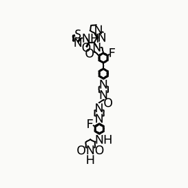 O=C1CCC(Nc2ccc(N3CCN(CC(=O)N4CCN(c5ccc(-c6cc(F)c7c(c6)C(=O)N(C(C(=O)Nc6nccs6)c6ncn8c6CCC8)C7)cc5)CC4)CC3)c(F)c2)C(=O)N1